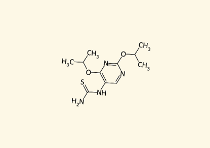 CC(C)Oc1ncc(NC(N)=S)c(OC(C)C)n1